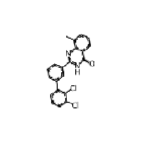 Cc1cccc2c(=O)[nH]c(-c3cccc(-c4cccc(Cl)c4Cl)c3)nc12